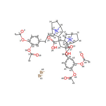 CC(=O)Oc1ccc(CC=C[N+]2(C)C3CCC2CC(C(CC(=O)O)(C(=O)O)C2CC4CCC(C2)[N+]4(C)C=CCc2ccc(OC(C)=O)c(OC(C)=O)c2)C3)cc1OC(C)=O.[Br-].[Br-]